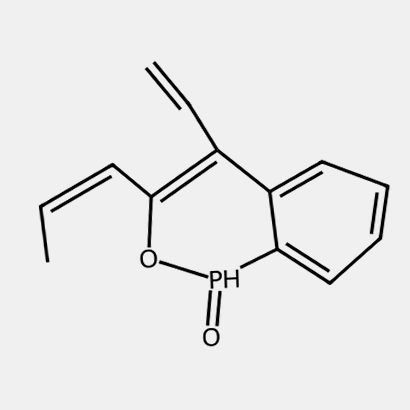 C=CC1=C(/C=C\C)O[PH](=O)c2ccccc21